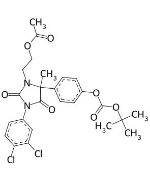 CC(=O)OCCN1C(=O)N(c2ccc(Cl)c(Cl)c2)C(=O)C1(C)c1ccc(OC(=O)OC(C)(C)C)cc1